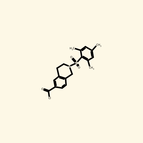 Cc1cc(C)c(S(=O)(=O)N2CCc3cc(C(=O)Cl)ccc3C2)c(C)c1